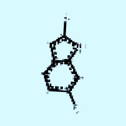 Fc1ccc2cc(Br)[nH]c2c1